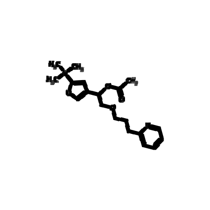 CC(=O)OC(COCCCc1ccccn1)c1coc([Si](C)(C)C)c1